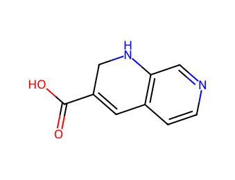 O=C(O)C1=Cc2ccncc2NC1